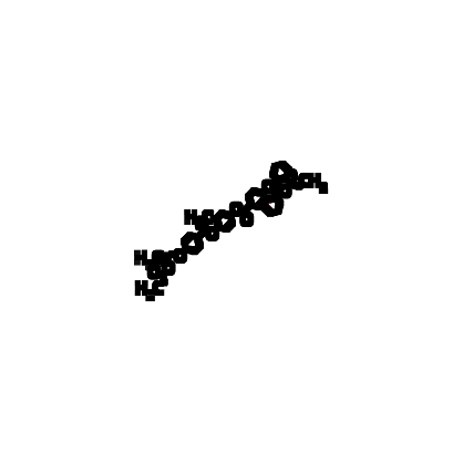 C=CC(=O)OP(C)COc1ccc(C(=O)Oc2ccc(OC(=O)c3ccc(OC(OC(=O)C=C)(c4ccccc4)c4ccccc4)cc3)cc2C)cc1